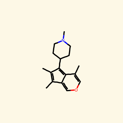 Cc1cocc2c(C)c(C)c(C3CCN(C)CC3)c1-2